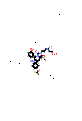 CCN(CCO)CCCN1C(=O)N2[C@H](C3=CC(O)CC=C3)c3[nH]c4ccc(OC(F)F)cc4c3C[C@@]2(C)C1=O